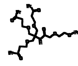 CC(C)OCCOCC(=O)NC(COCCC(=O)C(C)C)(COCCC(=O)C(C)C)COCCC(=O)C(C)C